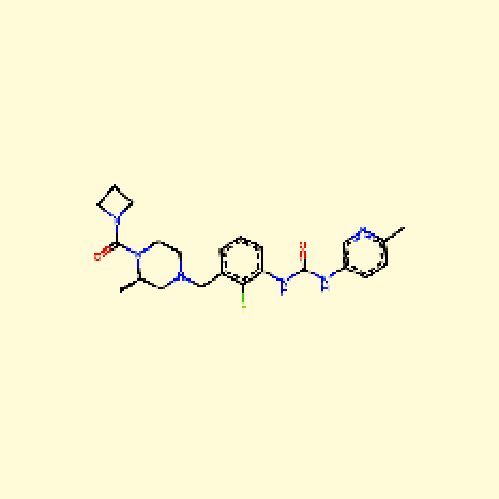 Cc1ccc(NC(=O)Nc2cccc(CN3CCN(C(=O)N4CCC4)[C@H](C)C3)c2F)cn1